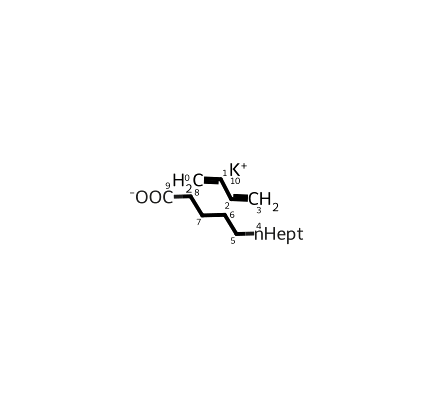 C=CC=C.CCCCCCCCCCCC(=O)[O-].[K+]